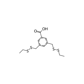 CCSSCc1cc(CSSCC)cc(C(=O)O)c1